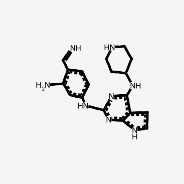 N=Cc1ccc(Nc2nc(NC3CCNCC3)c3cc[nH]c3n2)cc1N